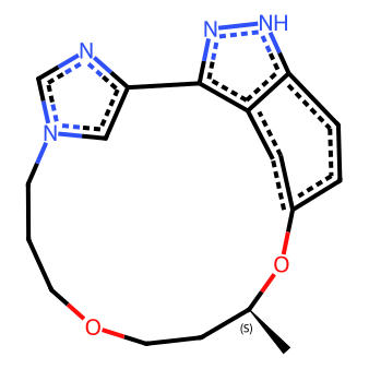 C[C@H]1CCOCCCn2cnc(c2)-c2n[nH]c3ccc(cc23)O1